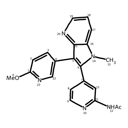 COc1ccc(-c2c(-c3ccnc(NC(C)=O)c3)n(C)c3cccnc23)cn1